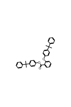 CC(C)(c1ccccc1)c1ccc(OC(=O)c2ccccc2Oc2ccc(C(C)(C)c3ccccc3)cc2)cc1